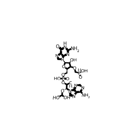 CC(OP(=O)(O)OC[C@H]1O[C@@H](n2cnc3c(=O)[nH]c(N)nc32)[C@@H](O)C1OC[PH](=O)O)[C@@H](OC(O)O)n1cnc2c(N)ncnc21